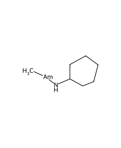 [CH3][Am][NH]C1CCCCC1